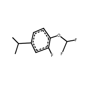 CC(C)c1ccc(OC(F)F)c(F)c1